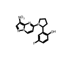 O=[N+]([O-])c1cnn2ccc(N3CCCC3c3cc(F)ccc3O)nc12